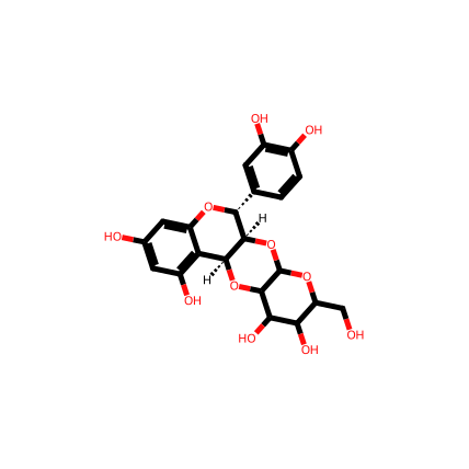 OCC1OC2O[C@@H]3[C@@H](c4ccc(O)c(O)c4)Oc4cc(O)cc(O)c4[C@@H]3OC2C(O)C1O